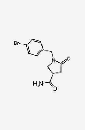 NC(=O)C1CC(=O)N(Cc2ccc(Br)cc2)C1